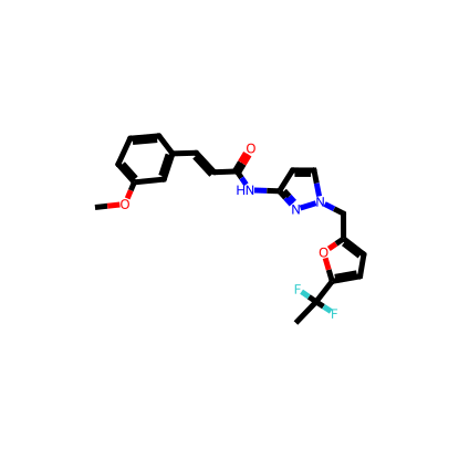 COc1cccc(/C=C/C(=O)Nc2ccn(Cc3ccc(C(C)(F)F)o3)n2)c1